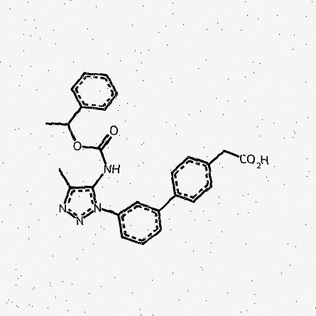 Cc1nnn(-c2cccc(-c3ccc(CC(=O)O)cc3)c2)c1NC(=O)OC(C)c1ccccc1